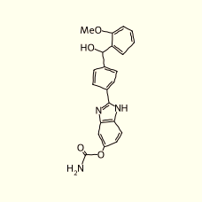 COc1ccccc1C(O)c1ccc(-c2nc3cc(OC(N)=O)ccc3[nH]2)cc1